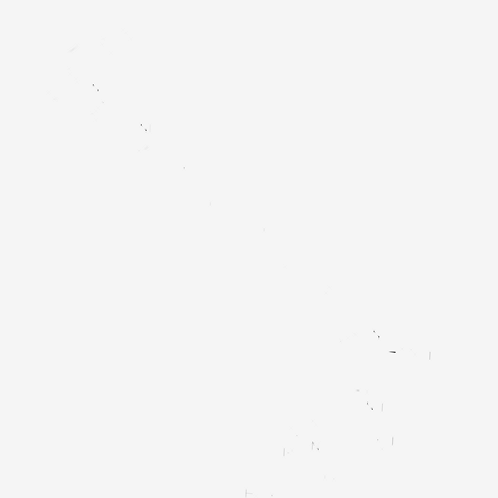 O=C(O)CCC(NP(O)(=P)OCC[C@H](NC(=O)CC[C@@H](NC(=O)CCOCCOCCOCCOCCOCCC(=O)NCCC(=O)N1Cc2ccccc2/C=C\c2ccccc21)C(=O)O)C(=O)O)C(=O)O